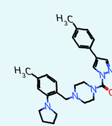 Cc1ccc(-c2cnn(C(=O)N3CCN(Cc4ccc(C)cc4N4CCCC4)CC3)c2)cc1